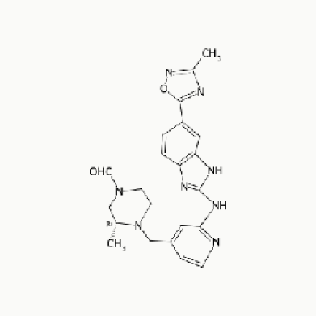 Cc1noc(-c2ccc3nc(Nc4cc(CN5CCN(C=O)C[C@H]5C)ccn4)[nH]c3c2)n1